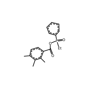 CCP(=O)(OC(=O)c1ccc(C)c(C)c1C)c1ccccc1